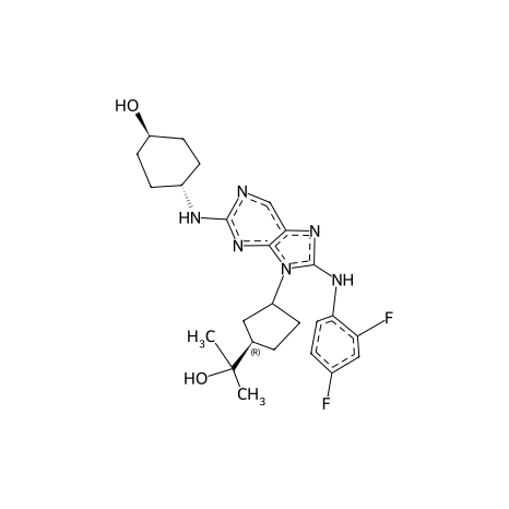 CC(C)(O)[C@@H]1CCC(n2c(Nc3ccc(F)cc3F)nc3cnc(N[C@H]4CC[C@H](O)CC4)nc32)C1